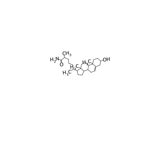 CC(CCCC(C)C1CCC2C3CC=C4CC(O)CCC4(C)C3CCC12C)C(N)=O